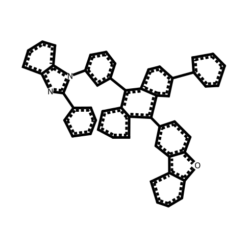 c1ccc(-c2ccc3c(-c4cccc(-n5c(-c6ccccc6)nc6ccccc65)c4)c4ccccc4c(-c4ccc5oc6ccccc6c5c4)c3c2)cc1